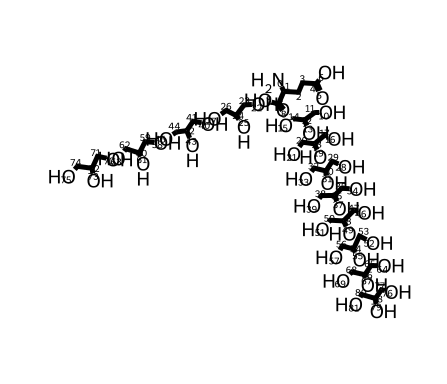 NC(CCC(=O)O)C(=O)O.OCC(O)CO.OCC(O)CO.OCC(O)CO.OCC(O)CO.OCC(O)CO.OCC(O)CO.OCC(O)CO.OCC(O)CO.OCC(O)CO.OCC(O)CO.OCC(O)CO.OCC(O)CO